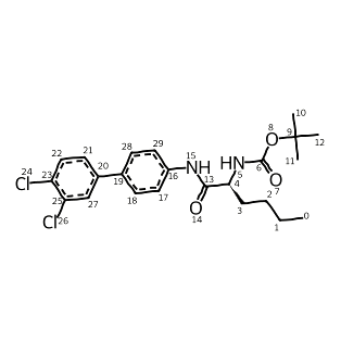 CCCC[C@H](NC(=O)OC(C)(C)C)C(=O)Nc1ccc(-c2ccc(Cl)c(Cl)c2)cc1